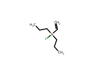 C=C[Si](F)(CCC)CCC